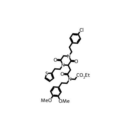 CCOC(=O)CN(CCc1ccc(OC)c(OC)c1)C(=O)CC1C(=O)N(CCc2ccc(Cl)cc2)CC(=O)N1CCc1cccs1